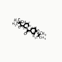 CC(C)(C)OC1CCC(C(=O)N2CCCC(C(=O)C(C)(C)C)C2)CC1